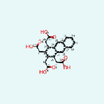 O=C(O)Cc1c(CC(=O)O)c(CC(=O)O)c2cc3ccccc3cc2c1CC(=O)O